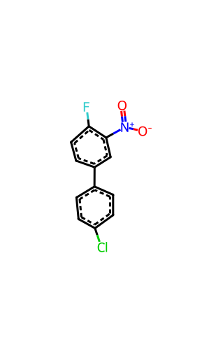 O=[N+]([O-])c1cc(-c2ccc(Cl)cc2)ccc1F